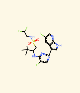 CC(C)(C)C(CS(=O)(=O)NCC(F)F)Nc1nc(-c2c[nH]c3ncc(F)cc23)ncc1F